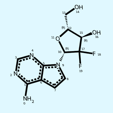 Nc1ncnc2c1ccn2[C@@H]1O[C@H](CO)[C@@H](O)C1(F)F